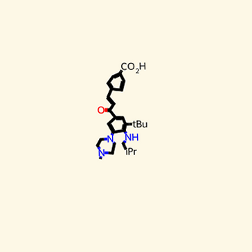 CC(C)CNc1c(N2CCN(C)CC2)cc(C(=O)/C=C/c2ccc(C(=O)O)cc2)cc1C(C)(C)C